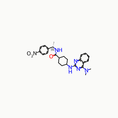 C[C@H](NC(=O)C1CCC(Nc2nc(N(C)C)c3ccccc3n2)CC1)c1ccc([N+](=O)[O-])cc1